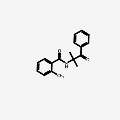 CC(C)(NC(=O)c1ccccc1C(F)(F)F)C(=O)c1ccccc1